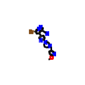 COc1ccc(CN2CCCN(c3ccc(-c4cc(Br)cn5ncc(C#N)c45)cn3)CC2)cn1